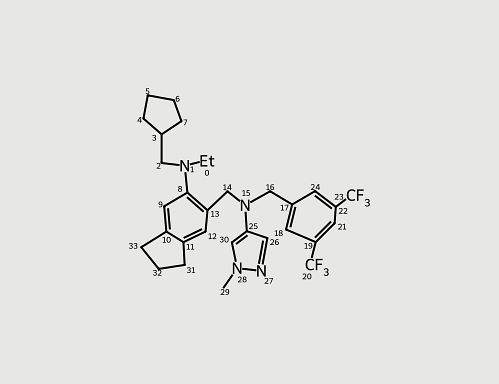 CCN(CC1CCCC1)c1cc2c(cc1CN(Cc1cc(C(F)(F)F)cc(C(F)(F)F)c1)c1cnn(C)c1)CCC2